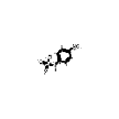 O=[N+]([O-])c1ccc(NS(=O)(=O)Cl)cc1